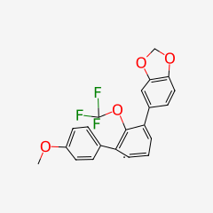 COc1ccc(-c2[c]ccc(-c3ccc4c(c3)OCO4)c2OC(F)(F)F)cc1